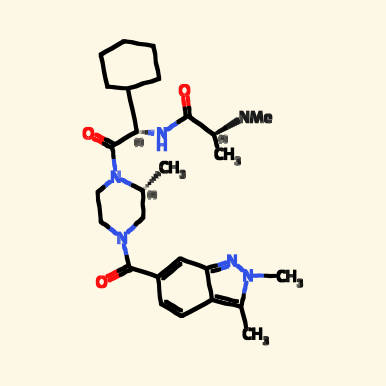 CN[C@@H](C)C(=O)N[C@H](C(=O)N1CCN(C(=O)c2ccc3c(C)n(C)nc3c2)C[C@H]1C)C1CCCCC1